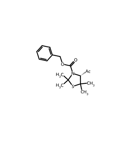 CC(=O)[C@H]1N(C(=O)OCc2ccccc2)C(C)(C)SC1(C)C